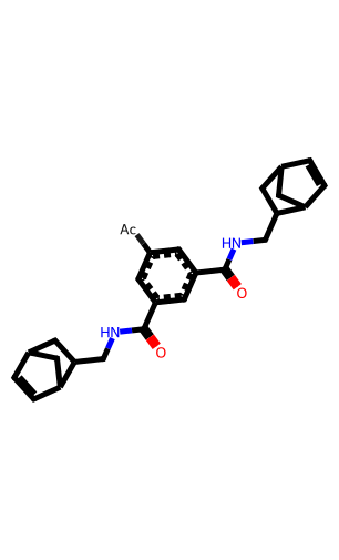 CC(=O)c1cc(C(=O)NCC2CC3C=CC2C3)cc(C(=O)NCC2CC3C=CC2C3)c1